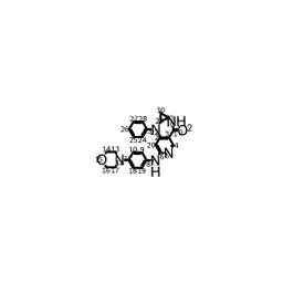 NC(=O)c1cnc(Nc2ccc(N3CCOCC3)cc2)cc1N(c1ccccc1)C1CC1